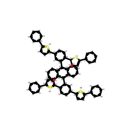 C1=C(c2ccccc2)SC(c2ccc(-c3ccc(-c4ccccc4)s3)cc2-c2c3ccccc3c(-c3cc(-c4ccc(-c5ccccc5)s4)ccc3-c3ccc(-c4ccccc4)s3)c3ccccc23)C1